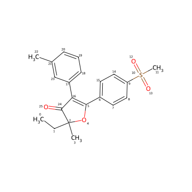 CCC1(C)OC(c2ccc(S(C)(=O)=O)cc2)=C(c2cccc(C)c2)C1=O